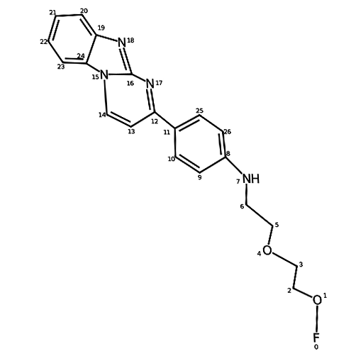 FOCCOCCNc1ccc(-c2ccn3c(n2)nc2ccccc23)cc1